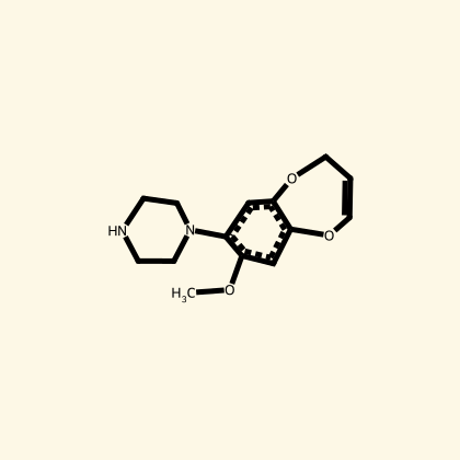 COc1cc2c(cc1N1CCNCC1)OCC=CO2